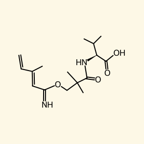 C=C/C(C)=C/C(=N)OCC(C)(C)C(=O)N[C@H](C(=O)O)C(C)C